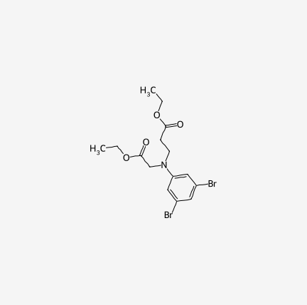 CCOC(=O)CCN(CC(=O)OCC)c1cc(Br)cc(Br)c1